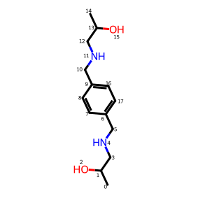 CC(O)CNCc1ccc(CNCC(C)O)cc1